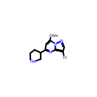 CCc1cnn2c(OC)cc(C3CCCNC3)nc12